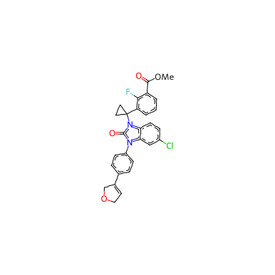 COC(=O)c1cccc(C2(n3c(=O)n(-c4ccc(C5=CCOC5)cc4)c4cc(Cl)ccc43)CC2)c1F